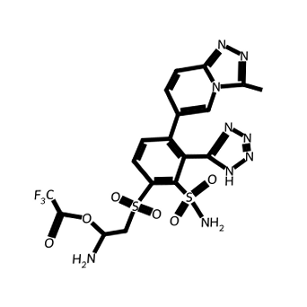 Cc1nnc2ccc(-c3ccc(S(=O)(=O)CC(N)OC(=O)C(F)(F)F)c(S(N)(=O)=O)c3-c3nnn[nH]3)cn12